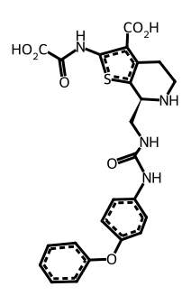 O=C(NC[C@@H]1NCCc2c1sc(NC(=O)C(=O)O)c2C(=O)O)Nc1ccc(Oc2ccccc2)cc1